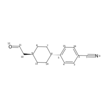 N#Cc1ccc([C@H]2CC[C@H](CC=O)CC2)cc1